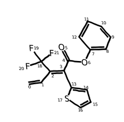 C=CC(=C(C(=O)Oc1ccccc1)c1cccs1)C(F)(F)F